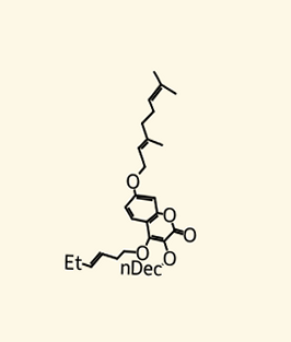 CC/C=C/CCOc1c(OCCCCCCCCCC)c(=O)oc2cc(OC/C=C(\C)CCC=C(C)C)ccc12